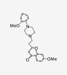 COc1ccc2c(=O)cc(CCN3CCN(c4ccccc4OC)CC3)oc2c1